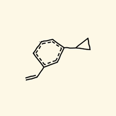 C=Cc1c[c]cc(C2CC2)c1